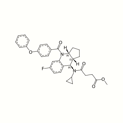 COC(=O)CCC(=O)N(C1CC1)[C@H]1c2ccc(F)cc2N(C(=O)c2ccc(Oc3ccccc3)cc2)[C@@H]2CCC[C@@H]21